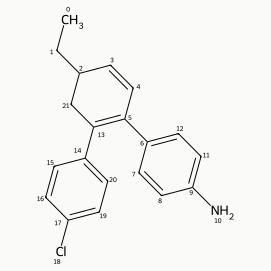 CCC1C=CC(c2ccc(N)cc2)=C(c2ccc(Cl)cc2)C1